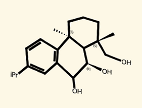 CC(C)c1ccc2c(c1)C(O)[C@H](O)C1[C@@](C)(CO)CCC[C@]21C